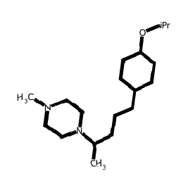 CC(C)OC1CCC(CCCC(C)N2CCN(C)CC2)CC1